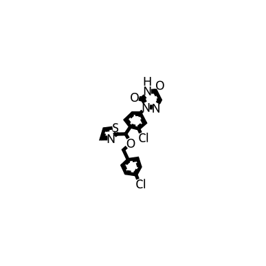 O=c1cnn(-c2ccc(C(OCc3ccc(Cl)cc3)c3nccs3)c(Cl)c2)c(=O)[nH]1